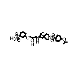 CNS(=O)(=O)c1cccc(OC[C@@H](O)CNC2COC3(CCN(S(=O)(=O)c4ccc(OC(C)C)cc4)CC3)C2)c1